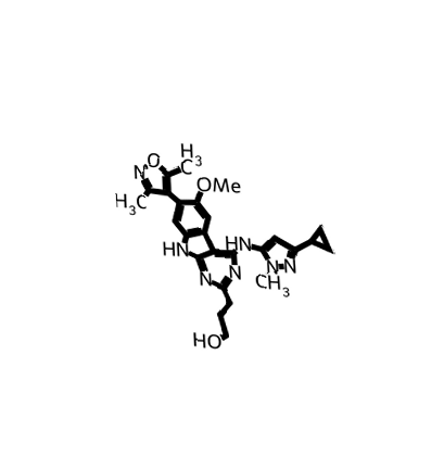 COc1cc2c(cc1-c1c(C)noc1C)[nH]c1nc(CCCO)nc(Nc3cc(C4CC4)nn3C)c12